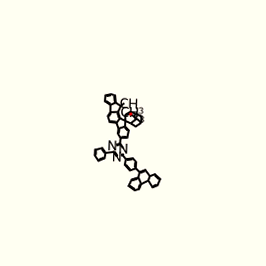 CC1(C)c2ccccc2-c2ccc3c(c21)C1(c2ccc(-c4nc(-c5ccccc5)nc(-c5ccc(C6=CC7C=CC=CC7c7ccccc76)cc5)n4)cc2-3)C2CC3CC(C2)CC1C3